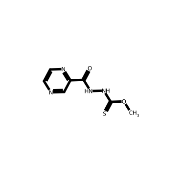 COC(=S)NNC(=O)c1cnccn1